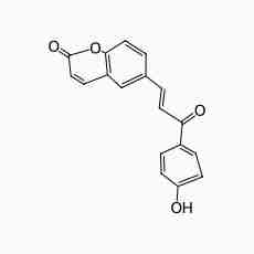 O=C(C=Cc1ccc2oc(=O)ccc2c1)c1ccc(O)cc1